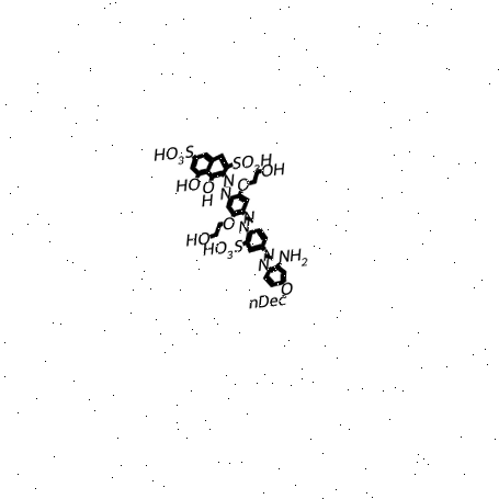 CCCCCCCCCCOc1ccc(/N=N/c2ccc(/N=N/c3cc(OCCO)c(/N=N/c4c(S(=O)(=O)O)cc5cc(S(=O)(=O)O)cc(O)c5c4O)cc3OCCO)c(S(=O)(=O)O)c2)c(N)c1